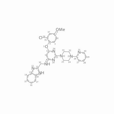 COc1ccc(Oc2cc(NCc3nc4ccccc4[nH]3)nc(N3CCN(c4ccccn4)CC3)n2)c(Cl)c1